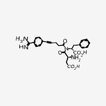 N=C(N)c1ccc(C#CCCC(=O)N(C(=O)[C@@H](N)CC(=O)O)[C@@H](Cc2ccccc2)C(=O)O)cc1